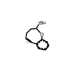 CC(C)(C)C1CC/C=C\c2ccccc2O1